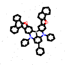 c1ccc(-c2cc3c4c(c2)N(c2ccccc2)c2cc5c(cc2B4c2cc4c(cc2N3c2ccccc2)oc2c3ccccc3ccc42)oc2c3ccccc3c3ccccc3c52)cc1